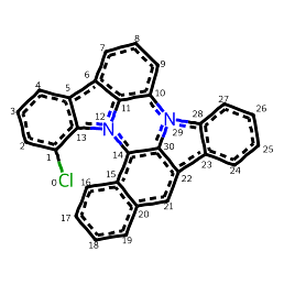 Clc1cccc2c3cccc4c3n(c12)c1c2ccccc2cc2c3ccccc3n4c21